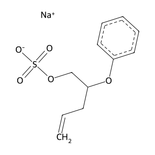 C=CCC(COS(=O)(=O)[O-])Oc1ccccc1.[Na+]